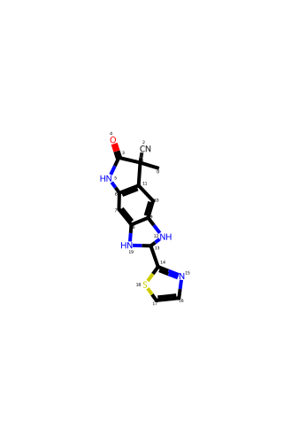 CC1(C#N)C(=O)Nc2cc3c(cc21)NC(c1nccs1)N3